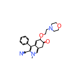 CN1C=C2CC(=O)C(OCCN3CCOCC3)C=C2C(c2ccccc2)=C1C#N